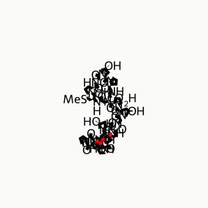 CSCC[C@H](NC(=O)CNC(=O)[C@@H]1CCCN1C(=O)[C@@H]1C[C@@H](O)CN1C(=O)CNC(=O)[C@@H]1CCCN1C(=O)[C@@H]1C[C@@H](O)CN1C(=O)CNC(=O)[C@@H]1CCCN1C(=O)[C@@H]1C[C@@H](O)CN1C(=O)CNC(=O)[C@@H]1CCCN1C(=O)[C@@H]1C[C@@H](O)CN1)C(=O)N1CCC[C@H]1C(=O)NCC(=O)N1C[C@H](O)C[C@H]1C(=O)N1CCC[C@H]1C(=O)NCC(=O)O